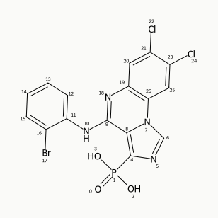 O=P(O)(O)c1ncn2c1c(Nc1ccccc1Br)nc1cc(Cl)c(Cl)cc12